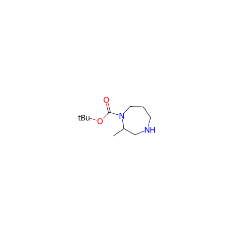 CC1CNCCCN1C(=O)OC(C)(C)C